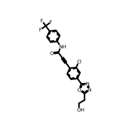 O=C(C#Cc1ccc(-c2nnc(CCO)o2)cc1Cl)Nc1ccc(C(F)(F)F)cc1